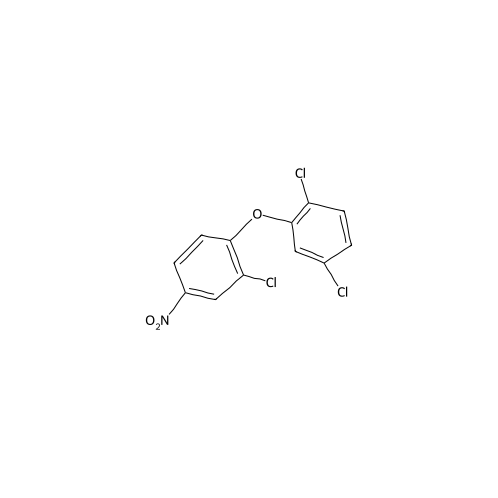 O=[N+]([O-])c1ccc(Oc2cc(Cl)ccc2Cl)c(Cl)c1